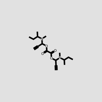 C#CC(OC(=O)C(=O)OC(C#C)N(C)C(C)CC)N(C)C(C)CC